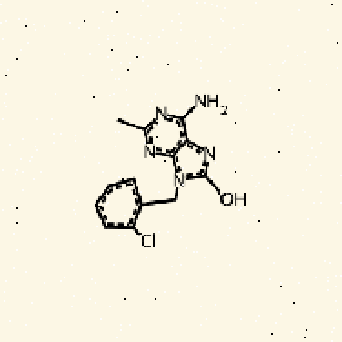 Cc1nc(N)c2nc(O)n(Cc3ccccc3Cl)c2n1